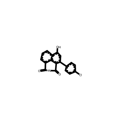 O=C1NC(=O)c2c(-c3ccc(Cl)cc3)cc(O)c3cccc1c23